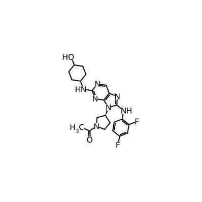 CC(=O)N1CC[C@H](n2c(Nc3ccc(F)cc3F)nc3cnc(NC4CCC(O)CC4)nc32)C1